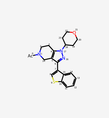 CC(=O)N1CCc2c(c(-c3csc4ccccc34)nn2C2CCOCC2)C1